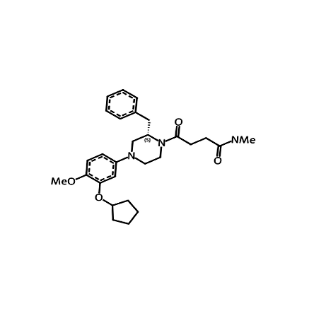 CNC(=O)CCC(=O)N1CCN(c2ccc(OC)c(OC3CCCC3)c2)C[C@@H]1Cc1ccccc1